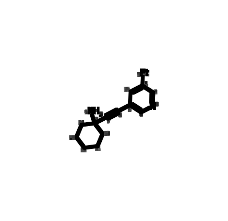 CCc1cncc(C#CC2(N)CCCCC2)c1